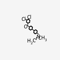 C=CCN(C)Cc1ccc(-c2ccc(C(=O)c3ccc(Cl)c(Cl)c3)cc2)cc1